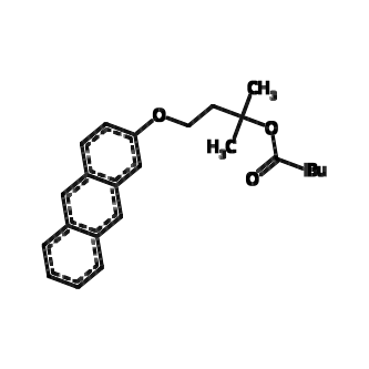 CCC(C)C(=O)OC(C)(C)CCOc1ccc2cc3ccccc3cc2c1